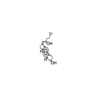 C[C@@H]([C@H]1CC[C@H]2[C@@H]3CC[C@H]4C[C@@H](O)CC[C@]4(C)[C@H]3CC[C@]12C)[C@@H](O)CCC1CC1